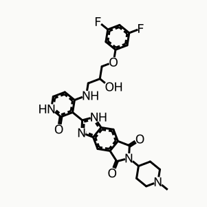 CN1CCC(N2C(=O)c3cc4nc(-c5c(NCC(O)COc6cc(F)cc(F)c6)cc[nH]c5=O)[nH]c4cc3C2=O)CC1